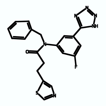 O=C(CCc1cncs1)N(Cc1ccccc1)c1cc(F)cc(-c2nnn[nH]2)c1